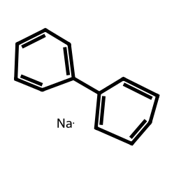 [Na].c1ccc(-c2ccccc2)cc1